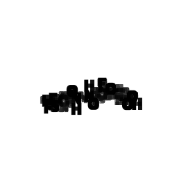 O=C(NCCNC(=O)c1ccc(O[C@H]2CC[C@@H](C(=O)O)CC2)c(F)c1)c1ccc(SC(F)(F)F)cc1